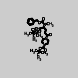 CN(C(=O)OCc1ccccc1)C(CCC(=O)N1CCN(C(=O)OC(C)(C)C)CC1)CO[Si](C)(C)C(C)(C)C